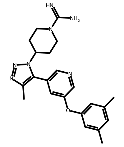 Cc1cc(C)cc(Oc2cncc(-c3c(C)nnn3C3CCN(C(=N)N)CC3)c2)c1